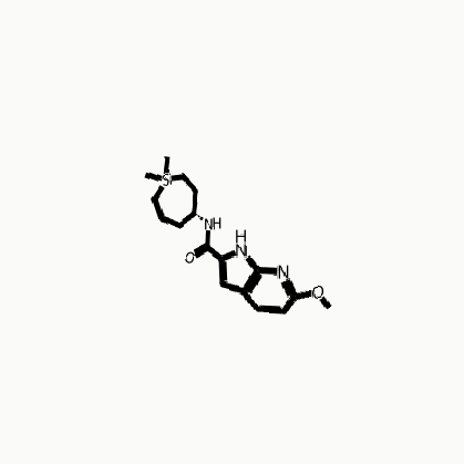 COc1ccc2cc(C(=O)N[C@@H]3CCC[Si](C)(C)CC3)[nH]c2n1